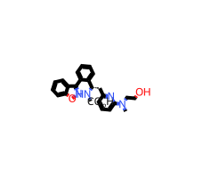 CN(CCO)c1cccc(C[C@H](NC(=O)O)c2ccccc2-c2noc3ccccc23)n1